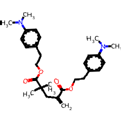 C=C(CC(C)(C)C(=O)OCCc1ccc(N(C)C)cc1)C(=O)OCCc1ccc(N(C)C)cc1